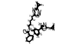 O=C(C1CCCCC1)N(CCCCCc1nc(C2CC2)no1)c1cccc(-c2cnc(C3CC3)o2)c1